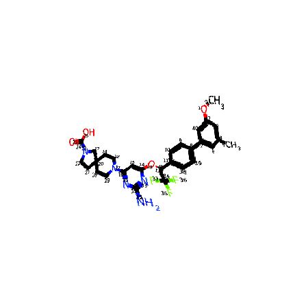 COc1cc(C)cc(-c2ccc([C@@H](Oc3cc(N4CCC5(CCN(C(=O)O)C5)CC4)nc(N)n3)C(F)(F)F)cc2)c1